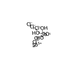 [Cl-].[Cl-].[Cl-].[Cl-].[Cl-].[O]=[Sb]([OH])([OH])[OH].[Sb+5]